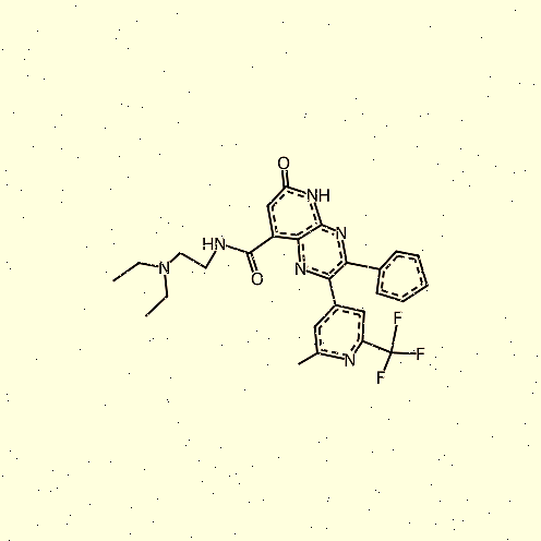 CCN(CC)CCNC(=O)c1cc(=O)[nH]c2nc(-c3ccccc3)c(-c3cc(C)nc(C(F)(F)F)c3)nc12